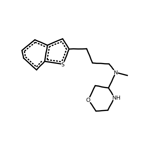 CN(CCCc1cc2ccccc2s1)C1COCCN1